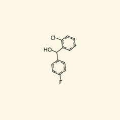 OC(c1ccc(F)cc1)c1ccccc1Cl